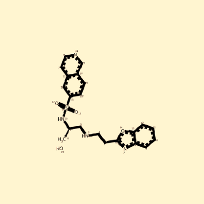 C[C@H](CNCCc1nc2ccccc2o1)NS(=O)(=O)c1ccc2cnccc2c1.Cl